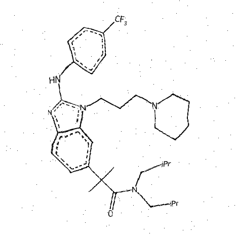 CC(C)CN(CC(C)C)C(=O)C(C)(C)c1ccc2nc(Nc3ccc(C(F)(F)F)cc3)n(CCCN3CCCCC3)c2c1